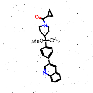 COC(C)(c1ccc(-c2cnc3ccccc3c2)cc1)C1CCN(C(=O)C2CC2)CC1